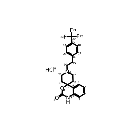 Cl.O=C1Nc2ccccc2C2(CCN(CCc3ccc(C(F)(F)F)cc3)CC2)O1